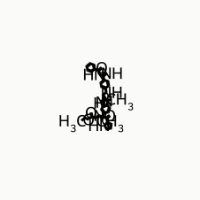 CCOC(=O)CNC(C)(C(=O)C1C=CCN1)c1ccc2c(c1)nc(CNc1ccc(C(=N)NC(=O)c3ccccc3)cc1)n2C